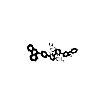 Cc1ccc(-c2ccc(-c3cc4ccccc4c4ccccc34)cc2)nc1-c1nc(-c2ccc3sc4ccccc4c3c2)ccc1C